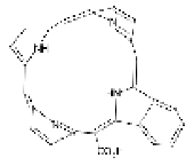 O=C(O)c1c2nc(cc3ccc(cc4nc(cc5[nH]c1c1ccccc51)C=C4)[nH]3)C=C2